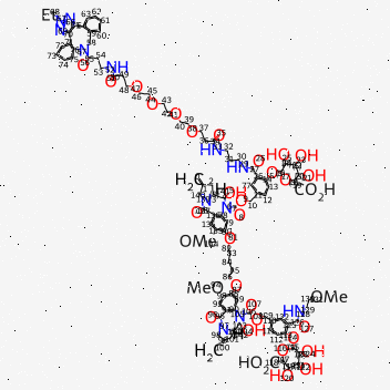 C=C1C[C@H]2C(O)N(C(=O)OCc3ccc(O[C@@H]4O[C@H](C(=O)O)[C@@H](O)[C@H](O)[C@H]4O)c(C(=O)NCCCNC(=O)CCOCCOCCOCCOCCC(=O)NCCC(=O)N4Cc5ccccc5-c5nn(CC)nc5-c5ccccc54)c3)c3cc(OCCCCCOc4cc5c(cc4OC)C(=O)N4CC(=C)C[C@H]4C(O)N5C(=O)OCc4ccc(O[C@@H]5O[C@H](C(=O)O)[C@@H](O)[C@H](O)[C@H]5O)c(C(=O)NCCOC)c4)c(OC)cc3C(=O)N2C1